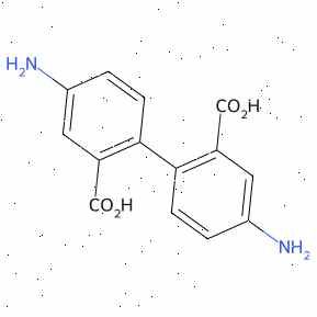 Nc1ccc(-c2ccc(N)cc2C(=O)O)c(C(=O)O)c1